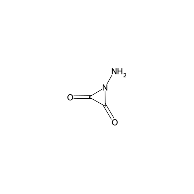 Nn1c(=O)c1=O